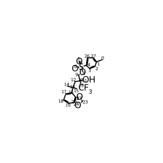 Cc1ccc(S(=O)(=O)OCC(O)(CC(C)(C)c2cccc3c2OCO3)C(F)(F)F)cc1